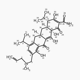 C=CCN(C)Cc1cc(C(C)C)c2c(c1O)C(=O)C1=C(O)[C@]3(O)C(=O)C(C(N)=O)=C(O)[C@@H](N(C)C)[C@@H]3C[C@@H]1C2